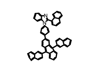 c1ccc2cc(-c3c4ccccc4c(-c4ccc5ccccc5c4)c4cc(-c5ccc(-n6c(-c7cccc8ccccc78)nc7ccccc76)cc5)ccc34)ccc2c1